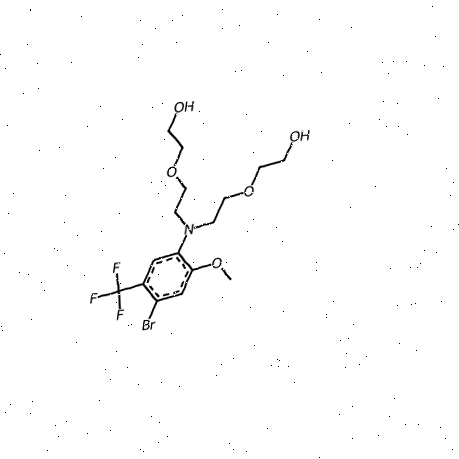 COc1cc(Br)c(C(F)(F)F)cc1N(CCOCCO)CCOCCO